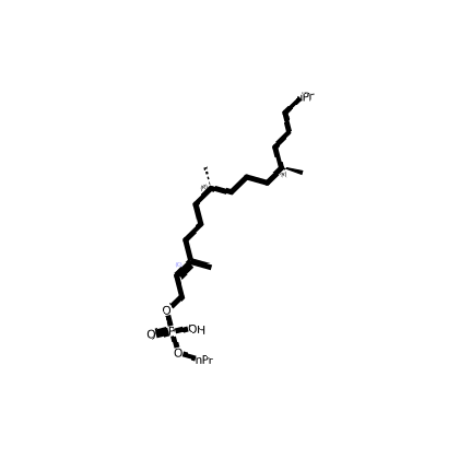 CCCOP(=O)(O)OC/C=C(\C)CCC[C@H](C)CCC[C@H](C)CCCC(C)C